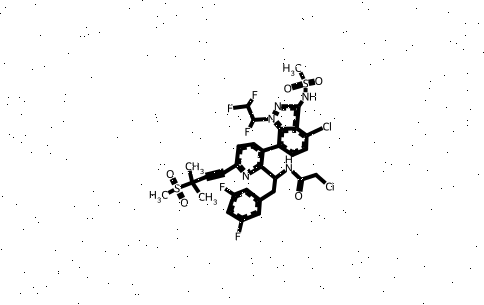 CC(C)(C#Cc1ccc(-c2ccc(Cl)c3c(NS(C)(=O)=O)nn(C(F)C(F)F)c23)c(C(Cc2cc(F)cc(F)c2)NC(=O)CCl)n1)S(C)(=O)=O